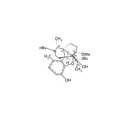 CCCCN1CC[C@]23c4c(C)ccc(O)c4O[C@H]2[C@]2(OC)CC[C@@]3(C[C@@H]2[C@](C)(O)C(C)(C)C)[C@H]1C